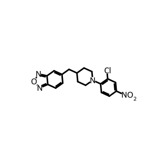 O=[N+]([O-])c1ccc(N2CCC(Cc3ccc4nonc4c3)CC2)c(Cl)c1